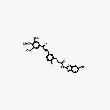 COc1cc(C(=O)/C=C/c2ccc(C)c(OCC(=O)Nc3nc4ccc([N+](=O)[O-])cc4s3)c2)cc(OC)c1OC